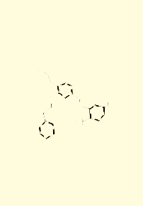 Cc1ccc(Cl)c(OCc2ccc(CCC(=O)O)c(OCCc3ccccc3)c2)c1